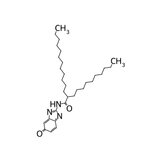 CCCCCCCCCCCCC(CCCCCCCCCC)C(=O)NC1=NC2=CC(=O)C=CC2=N1